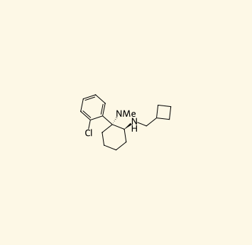 CN[C@@]1(c2ccccc2Cl)CCCC[C@@H]1NCC1CCC1